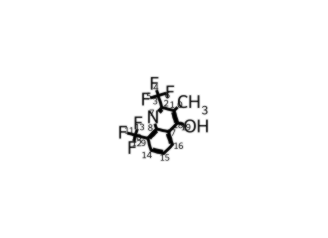 Cc1c(C(F)(F)F)nc2c(C(F)(F)F)cccc2c1O